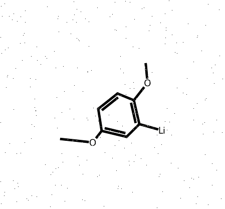 [Li][c]1cc(OC)ccc1OC